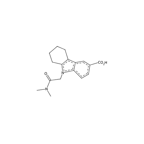 CN(C)C(=O)Cn1c2c(c3cc(C(=O)O)ccc31)CCCC2